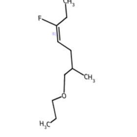 CCCOCC(C)C/C=C(/F)CC